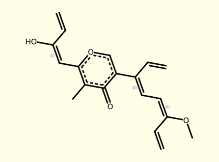 C=C/C(O)=C\c1occ(/C(C=C)=C/C=C(\C=C)OC)c(=O)c1C